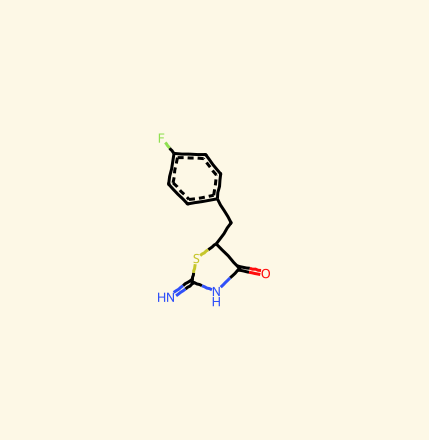 N=C1NC(=O)C(Cc2ccc(F)cc2)S1